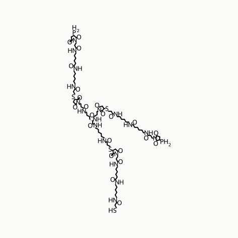 O=C(CCS)NCCCCCCNC(=O)CCCCCNC(=O)CCN1C(=O)CC(SCCC(=O)NCCCCCCNC(=O)[C@H](CCCCNC(=O)CCN2C(=O)CC(SCCC(=O)NCCCCCCNC(=O)CCCCCNC(=O)CCN3C(=O)CC(P)C3=O)C2=O)NC(=O)CCN2C(=O)CC(SCCC(=O)NCCCCCCNC(=O)CCCCCNC(=O)CCN3C(=O)CC(P)C3=O)C2=O)C1=O